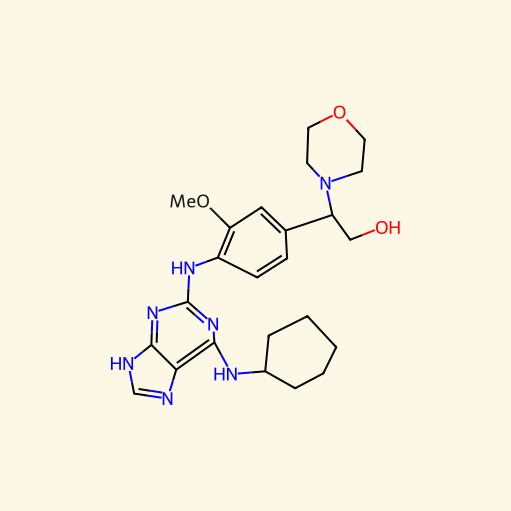 COc1cc(C(CO)N2CCOCC2)ccc1Nc1nc(NC2CCCCC2)c2nc[nH]c2n1